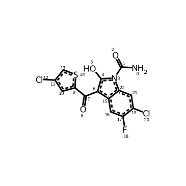 NC(=O)n1c(O)c(C(=O)c2cc(Cl)cs2)c2cc(F)c(Cl)cc21